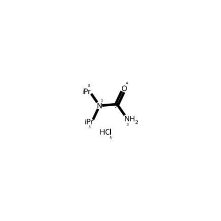 CC(C)N(C(N)=O)C(C)C.Cl